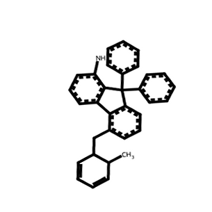 CC1C=CC=CC1Cc1cccc2c1-c1cccc(N)c1C2(c1ccccc1)c1ccccc1